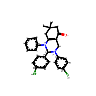 CC1(C)CC(=O)C2=C(C1)N(c1ccccc1)C(c1ccc(Br)cc1)N(c1ccc(F)cc1)C2